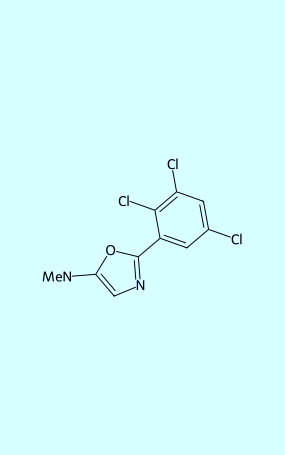 CNc1cnc(-c2cc(Cl)cc(Cl)c2Cl)o1